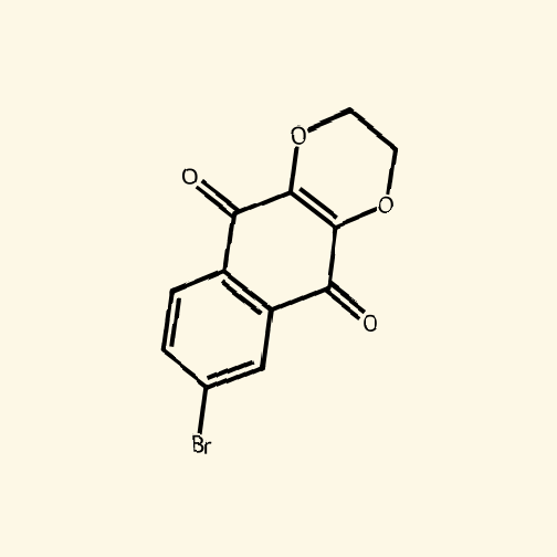 O=C1C2=C(OCCO2)C(=O)c2cc(Br)ccc21